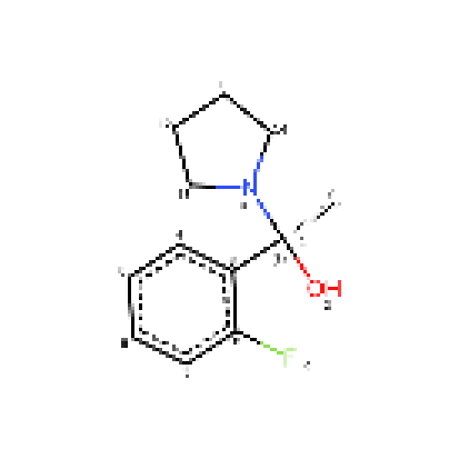 [CH2][C@](O)(c1ccccc1F)N1CCCC1